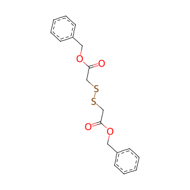 O=C(CSSCC(=O)OCc1ccccc1)OCc1ccccc1